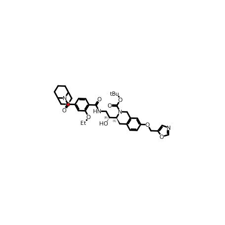 CCOc1cc(C(=O)N2C3CCCC2COC3)ccc1C(=O)NC[C@@H](O)[C@@H]1Cc2ccc(OCc3cnco3)cc2CN1C(=O)OC(C)(C)C